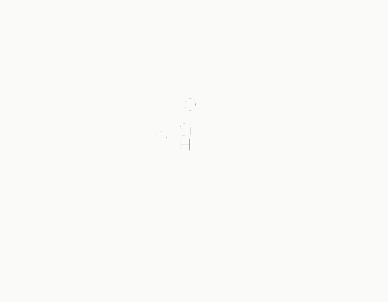 CO[SiH](C=CC1CCC1)OC